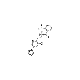 O=C(NCCc1ncc(-n2cccn2)cc1Cl)c1ccccc1C(F)(F)F